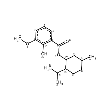 COc1cccc(C(=O)OC2CC(C)CCC2C(C)C)c1O